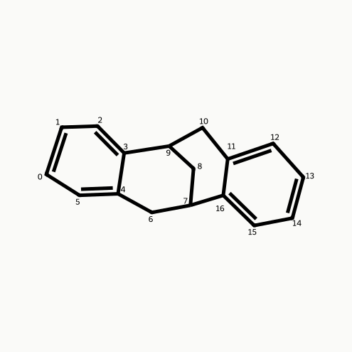 c1ccc2c(c1)CC1CC2Cc2ccccc21